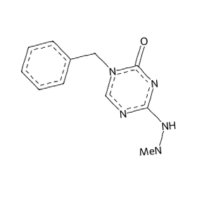 CNNc1ncn(Cc2ccccc2)c(=O)n1